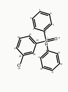 O=[SH](c1ccccc1)(c1ccccc1)c1cccc(Cl)c1